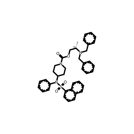 C[C@@H](COC(=O)N1CCC(N(c2ccccc2)S(=O)(=O)c2cccc3ccccc23)CC1)N(Cc1ccccc1)Cc1ccccc1